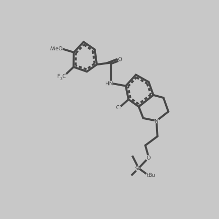 COc1ccc(C(=O)Nc2ccc3c(c2Cl)CN(CCO[Si](C)(C)C(C)(C)C)CC3)cc1C(F)(F)F